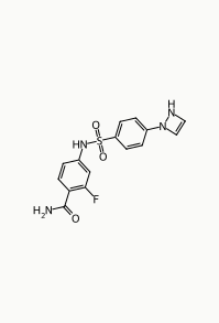 NC(=O)c1ccc(NS(=O)(=O)c2ccc(-n3cc[nH]3)cc2)cc1F